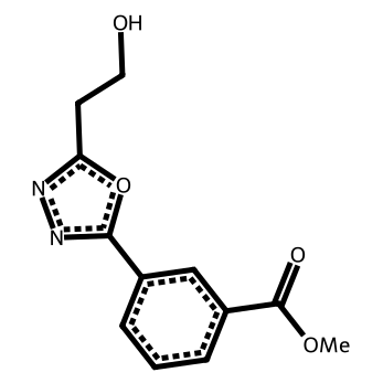 COC(=O)c1cccc(-c2nnc(CCO)o2)c1